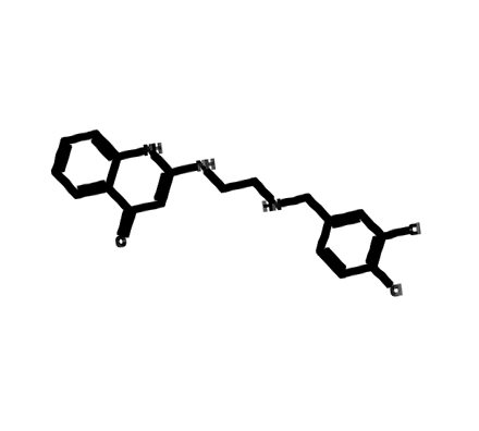 O=c1cc(NCCNCc2ccc(Cl)c(Cl)c2)[nH]c2ccccc12